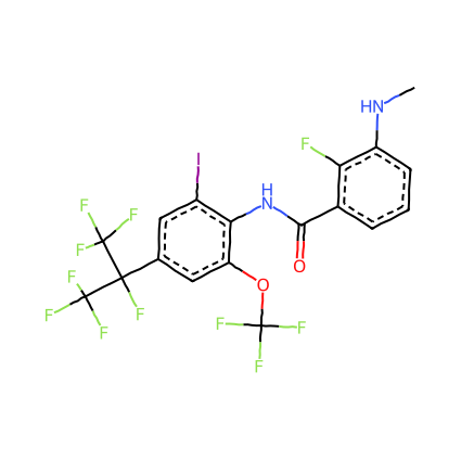 CNc1cccc(C(=O)Nc2c(I)cc(C(F)(C(F)(F)F)C(F)(F)F)cc2OC(F)(F)F)c1F